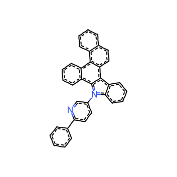 c1ccc(-c2ccc(-n3c4ccccc4c4c5ccc6ccccc6c5c5ccccc5c43)cn2)cc1